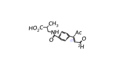 [2H]C(=O)/C=C(\C(C)=O)c1ccc(C(=O)NCC(C)C(=O)O)cc1